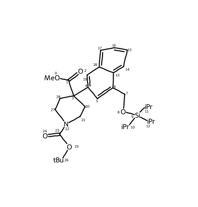 COC(=O)C1(c2cc(CO[Si](C(C)C)(C(C)C)C(C)C)c3ccccc3c2)CCN(C(=O)OC(C)(C)C)CC1